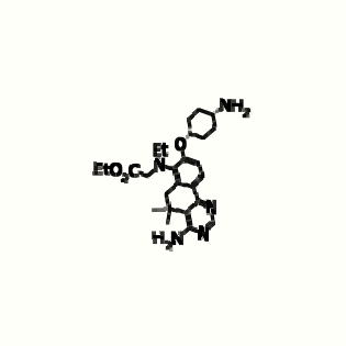 CCOC(=O)CN(CC)c1c(O[C@H]2CC[C@@H](N)CC2)ccc2c1CC(C)(C)c1c(N)ncnc1-2